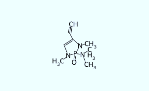 C#CC1=CN(C)P(=O)(N(C)C)N1C